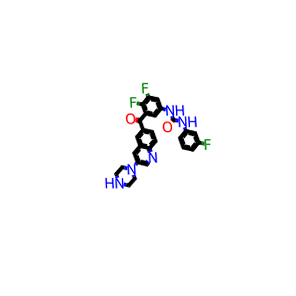 O=C(Nc1cccc(F)c1)Nc1cc(F)c(F)c(C(=O)c2ccc3ncc(N4CCNCC4)cc3c2)c1